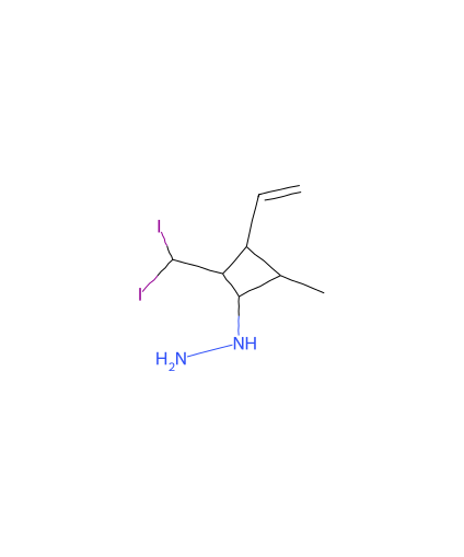 C=CC1C(C)C(NN)C1C(I)I